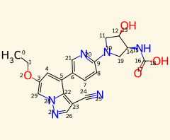 CCOc1cc(-c2ccc(N3C[C@@H](O)[C@@H](NC(=O)O)C3)nc2)c2c(C#N)cnn2c1